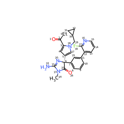 CCC(=O)c1cc([C@@]2(c3cccc(-c4cccnc4F)c3)N=C(N)N(C)C2=O)cn1CC1CC1